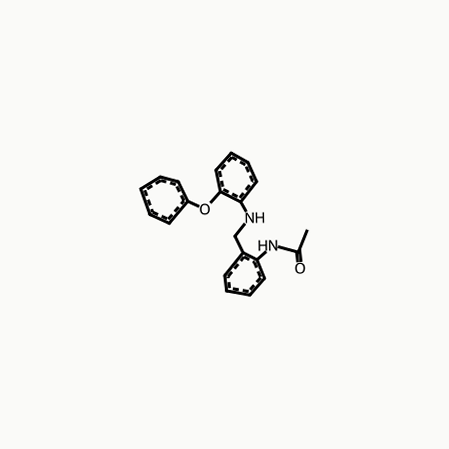 CC(=O)Nc1ccccc1CNc1ccccc1Oc1ccccc1